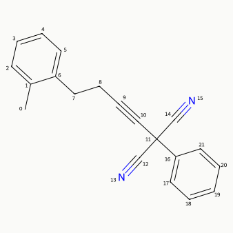 Cc1ccccc1CCC#CC(C#N)(C#N)c1ccccc1